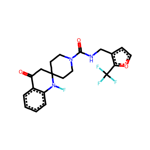 O=C1CC2(CCN(C(=O)NCc3ccoc3C(F)(F)F)CC2)N(F)c2ccccc21